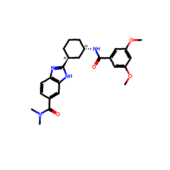 COc1cc(OC)cc(C(=O)N[C@H]2CCC[C@H](c3nc4ccc(C(=O)N(C)C)cc4[nH]3)C2)c1